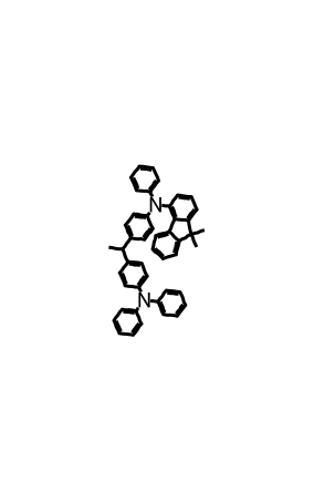 CC(c1ccc(N(c2ccccc2)c2ccccc2)cc1)c1ccc(N(c2ccccc2)c2cccc3c2-c2ccccc2C3(C)C)cc1